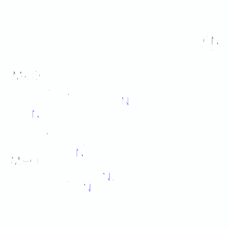 COCc1nnc(-c2ccc(-c3ccc(C#N)cc3C)nc2)n1-c1ccc(OC)nc1